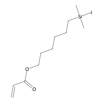 C=CC(=O)OCCCCCC[Si](C)(C)I